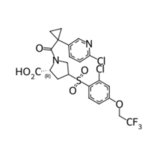 O=C(O)[C@H]1CC(S(=O)(=O)c2ccc(OCC(F)(F)F)cc2Cl)CN1C(=O)C1(c2ccc(Cl)nc2)CC1